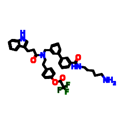 NCCCCCNC(=O)c1cccc(-c2cccc(CN(CCc3ccc(OC(=O)C(F)(F)F)cc3)C(=O)CCc3c[nH]c4ccccc34)c2)c1